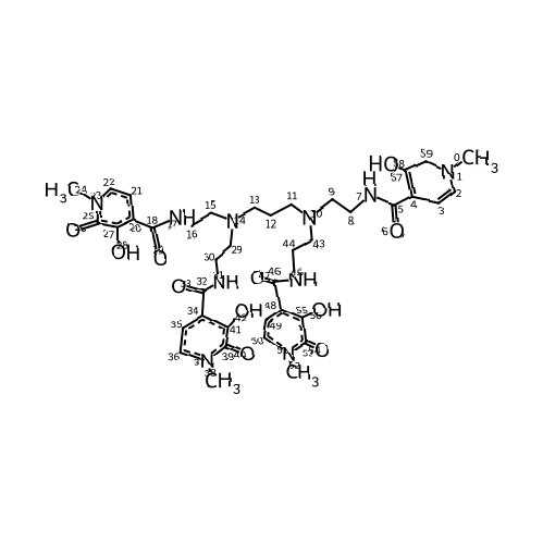 CN1C=CC(C(=O)NCCN(CCCN(CCNC(=O)c2ccn(C)c(=O)c2O)CCNC(=O)c2ccn(C)c(=O)c2O)CCNC(=O)c2ccn(C)c(=O)c2O)=C(O)C1